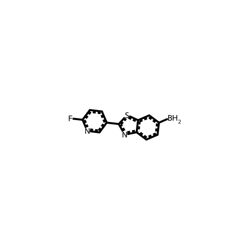 Bc1ccc2nc(-c3ccc(F)nc3)sc2c1